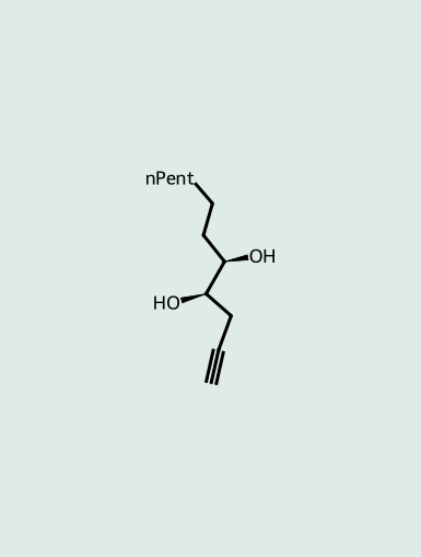 C#CC[C@@H](O)[C@H](O)CCCCCCC